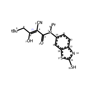 CC(C)N(C(=O)/C(C#N)=C(\O)CC(C)(C)C)c1ccc2nc(S)sc2c1